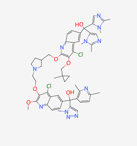 COc1nc2ccc(C(O)(c3ccc(C)nc3C)c3cnnn3C)cc2c(Cl)c1OCCN1CCC(COc2nc3ccc(C(O)(c4cnc(C)n4C)c4cnc(C)n4C)cc3c(Cl)c2OCC2(C)CC2)C1